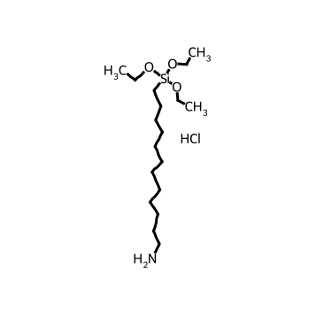 CCO[Si](CCCCCCCCCCCCN)(OCC)OCC.Cl